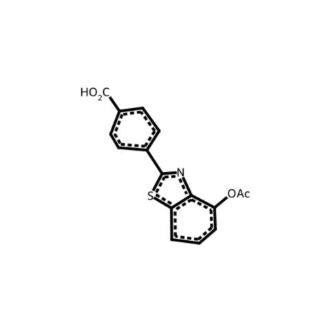 CC(=O)Oc1cccc2sc(-c3ccc(C(=O)O)cc3)nc12